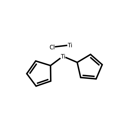 C1=C[CH]([Ti][CH]2C=CC=C2)C=C1.[Cl][Ti]